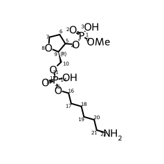 COP(=O)(O)OC1CCO[C@@H]1COP(=O)(O)OCCCCCCN